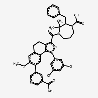 COc1cc2c(cc1-c1cncc(C(N)=O)c1)-c1c(c(C(=O)N3CCCN(C(=O)O)C(Cc4ccccc4)C3(C)C)nn1-c1cc(Cl)cc(Cl)c1)CC2